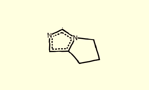 [c]1ncc2n1CCC2